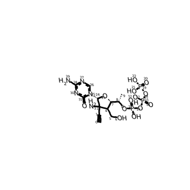 C#CC1(N)C(CO)[C@@H]([C@H](C)OP(=O)(O)OP(=O)(O)OP(=O)(O)O)O[C@H]1n1cnc(N)nc1=O